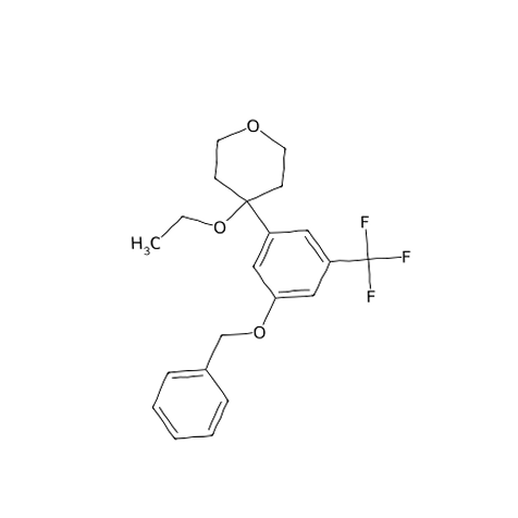 CCOC1(c2cc(OCc3ccccc3)cc(C(F)(F)F)c2)CCOCC1